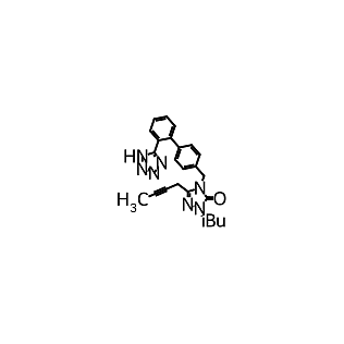 CC#CCc1nn(C(C)CC)c(=O)n1Cc1ccc(-c2ccccc2-c2nnn[nH]2)cc1